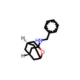 c1ccc(CNC23C[C@@H]4CC(C[C@@H](C4)C2)O3)cc1